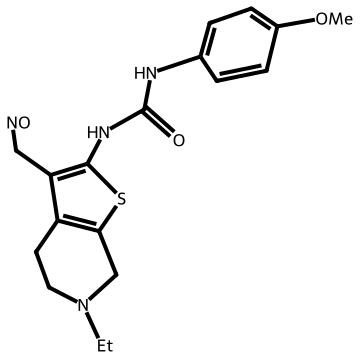 CCN1CCc2c(sc(NC(=O)Nc3ccc(OC)cc3)c2CN=O)C1